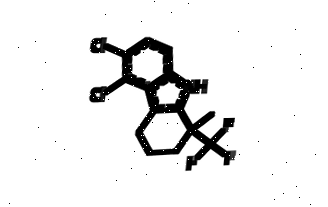 CC1(C(F)(F)F)CCCc2c1[nH]c1ccc(Cl)c(Cl)c21